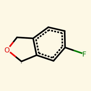 Fc1ccc2c(c1)[CH]OC2